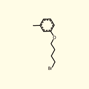 Cc1cccc(OCCCCBr)c1